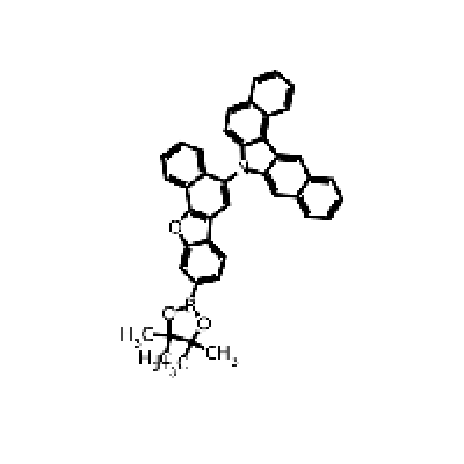 CC1(C)OB(c2ccc3c(c2)oc2c4ccccc4c(-n4c5cc6ccccc6cc5c5c6ccccc6ccc54)cc32)OC1(C)C